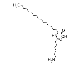 CCCCCCCCCCCCCCCCC(NC(=O)CCCCCCN)C(=O)O